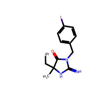 CC(C)CC1(C)NC(=N)N(Cc2ccc(I)cc2)C1=O